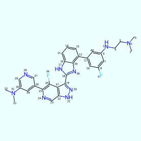 CN(C)CCNc1cc(F)cc(-c2cccc3[nH]c(-c4n[nH]c5cnc(-c6cncc(N(C)C)c6)c(F)c45)nc23)c1